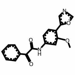 COc1cc(NC(=O)C(=O)c2ccccc2)ccc1-c1cnco1